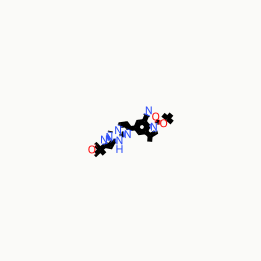 CC1CN(C(=O)OC(C)(C)C)c2c(C#N)cc(-c3ccnc(Nc4cc(C5(C)COC5)nn4C)n3)cc21